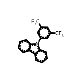 FC(F)(F)c1cc(-n2c3ccccc3c3ccccc32)cc(C(F)(F)F)c1